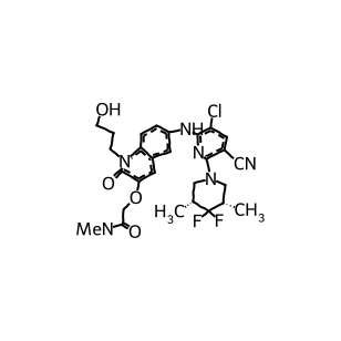 CNC(=O)COc1cc2cc(Nc3nc(N4C[C@@H](C)C(F)(F)[C@@H](C)C4)c(C#N)cc3Cl)ccc2n(CCCO)c1=O